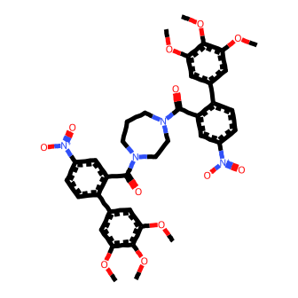 COc1cc(-c2ccc([N+](=O)[O-])cc2C(=O)N2CCCN(C(=O)c3cc([N+](=O)[O-])ccc3-c3cc(OC)c(OC)c(OC)c3)CC2)cc(OC)c1OC